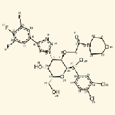 O=C(CO[C@@H]1[C@@H](n2cc(-c3cc(F)c(F)c(F)c3)nn2)[C@@H](O)[C@@H](CO)O[C@@H]1[S+]([O-])c1ccc(Cl)c(Cl)c1)N1CCOCC1